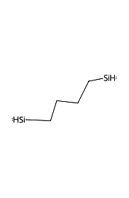 [SiH]CCCC[SiH]